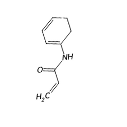 C=CC(=O)NC1=CC=CCC1